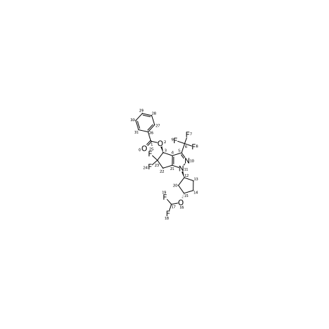 O=C(O[C@H]1c2c(C(F)(F)F)nn([C@H]3CC[C@H](OC(F)F)C3)c2CC1(F)F)c1ccccc1